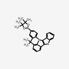 CC1(C)c2cc(B3OC(C)(C)C(C)(C)O3)ccc2-n2c3c1cccc3c1sc3ccccc3c12